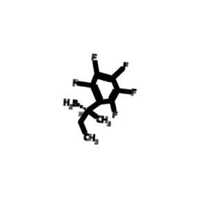 B[C@](C)(CC)c1c(F)c(F)c(F)c(F)c1F